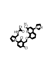 CCC(=O)NCc1cccn1-c1ccc(Cl)c(COc2cccc3c(-n4ccnc4)cc(C)nc23)c1Cl